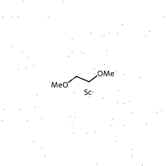 COCCOC.[Sc]